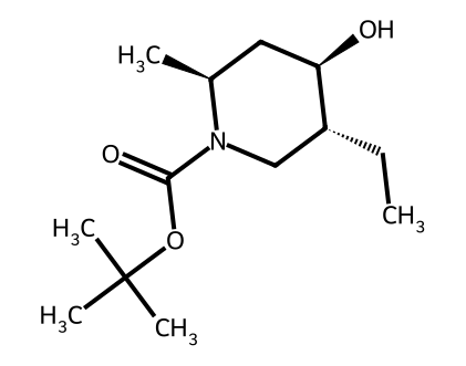 CC[C@@H]1CN(C(=O)OC(C)(C)C)[C@@H](C)C[C@H]1O